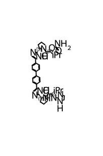 CC(C)[C@H](NC1=NCCN1)C(=O)N1CCC[C@H]1c1ncc(-c2ccc(-c3ccc(-c4cnc([C@@H]5CCCN5C(=O)[C@@H](OC(N)=O)C(C)C)[nH]4)cc3)cc2)[nH]1